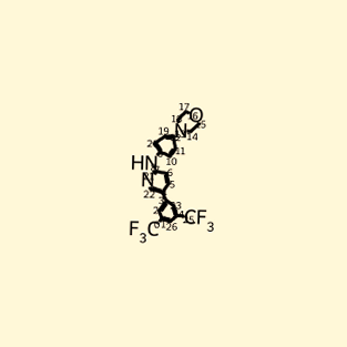 FC(F)(F)c1cc(-c2ccc(Nc3ccc(N4CCOCC4)cc3)nc2)cc(C(F)(F)F)c1